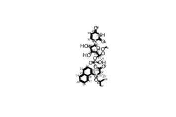 COO[C@@](C)(OP(=O)(O)OC(=O)[C@H](C)N(OC(C)C)c1cccc2ccccc12)[C@H]1O[C@@H](n2ccc(=O)[nH]c2=O)[C@@H](O)[C@@H]1O